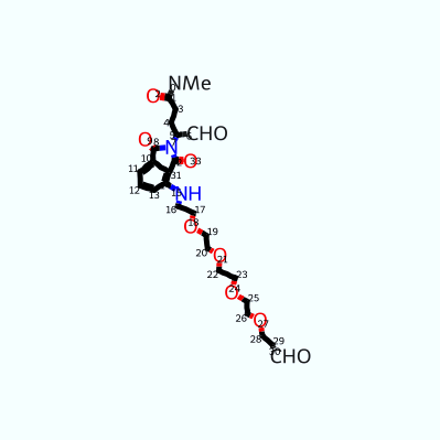 CNC(=O)CCC(C=O)N1C(=O)c2cccc(NCCOCCOCCOCCOCCC=O)c2C1=O